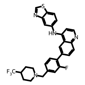 Fc1cc(CN2CCC(C(F)(F)F)CC2)ccc1-c1ccc2nccc(Nc3ccc4scnc4c3)c2c1